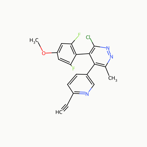 C#Cc1ccc(-c2c(C)nnc(Cl)c2-c2c(F)cc(OC)cc2F)cn1